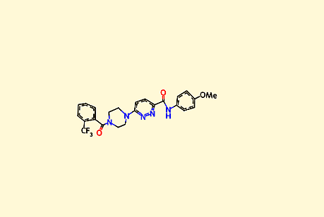 COc1ccc(NC(=O)c2ccc(N3CCN(C(=O)c4ccccc4C(F)(F)F)CC3)nn2)cc1